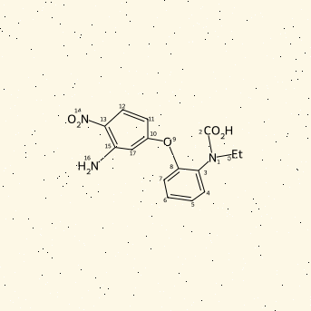 CCN(C(=O)O)c1ccccc1Oc1ccc([N+](=O)[O-])c(N)c1